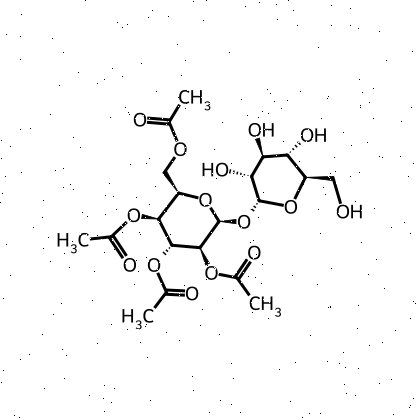 CC(=O)OC[C@H]1O[C@@H](O[C@H]2O[C@H](CO)[C@@H](O)[C@H](O)[C@H]2O)[C@@H](OC(C)=O)[C@H](OC(C)=O)[C@H]1OC(C)=O